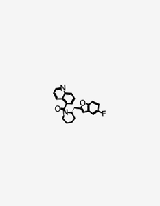 O=C(c1cccc2ncccc12)N1CCCC[C@H]1Cc1cc2cc(F)ccc2o1